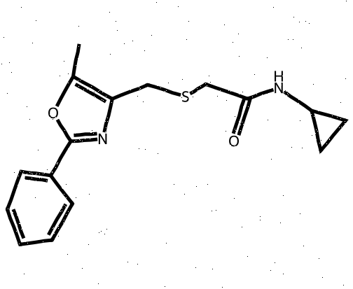 Cc1oc(-c2ccccc2)nc1CSCC(=O)NC1CC1